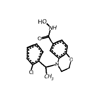 CC(c1ccccc1Cl)N1CCOc2ccc(C(=O)NO)cc21